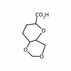 O=C(O)C1CCC2OCOCC2O1